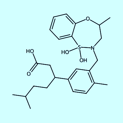 Cc1ccc(C(CCC(C)C)CC(=O)O)cc1CN1CC(C)Oc2ccccc2S1(O)O